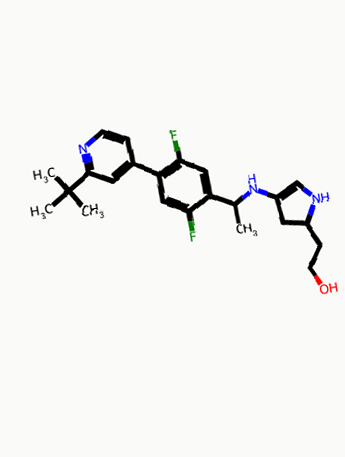 CC(NC1=CNC(CCO)C1)c1cc(F)c(-c2ccnc(C(C)(C)C)c2)cc1F